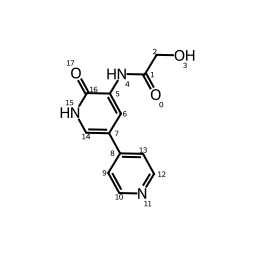 O=C(CO)Nc1cc(-c2ccncc2)c[nH]c1=O